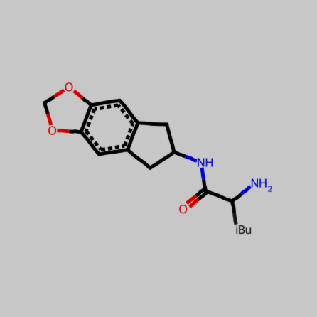 CCC(C)C(N)C(=O)NC1Cc2cc3c(cc2C1)OCO3